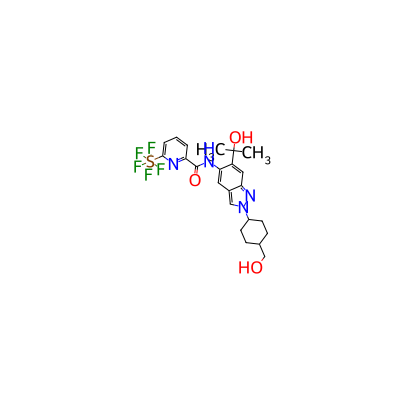 CC(C)(O)c1cc2nn(C3CCC(CO)CC3)cc2cc1NC(=O)c1cccc(S(F)(F)(F)(F)F)n1